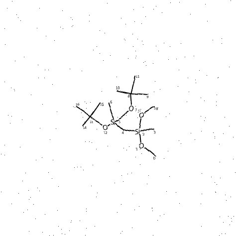 CO[Si](C)(C[Si](C)(OC(C)(C)C)OC(C)(C)C)OC